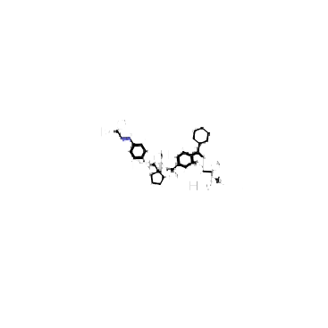 CN(C)C(=O)Cn1cc(C2CCCCC2)c2ccc(C(=O)NC3(C(=O)Nc4ccc(/C=C/C(=O)O)cc4)CCCC3)cc21